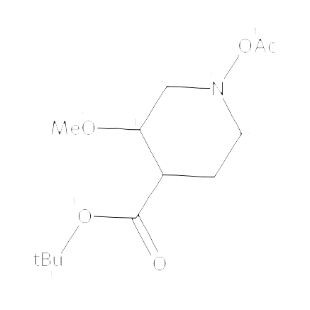 COC1CN(OC(C)=O)CCC1C(=O)OC(C)(C)C